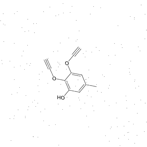 C#COc1cc(C)cc(O)c1OC#C